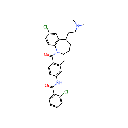 Cc1cc(NC(=O)c2ccccc2Cl)ccc1C(=O)N1CCCC(CCN(C)C)c2cc(Cl)ccc21